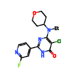 CCN(c1nc(-c2ccnc(F)c2)[nH]c(=O)c1Cl)C1CCOCC1